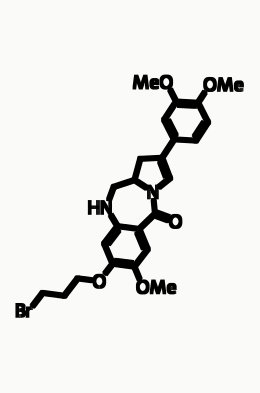 COc1ccc(C2=CN3C(=O)c4cc(OC)c(OCCCBr)cc4NCC3C2)cc1OC